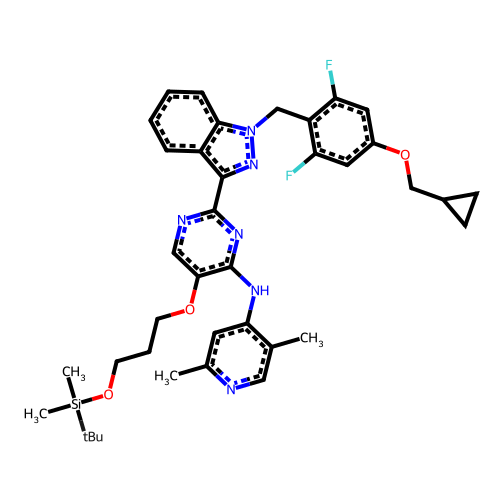 Cc1cc(Nc2nc(-c3nn(Cc4c(F)cc(OCC5CC5)cc4F)c4ccccc34)ncc2OCCCO[Si](C)(C)C(C)(C)C)c(C)cn1